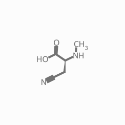 CN[C@@H](CC#N)C(=O)O